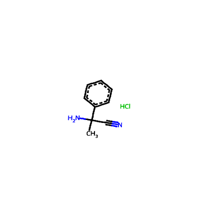 CC(N)(C#N)c1ccccc1.Cl